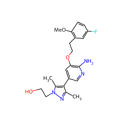 COc1ccc(F)cc1CCOc1cc(-c2c(C)nn(CCO)c2C)cnc1N